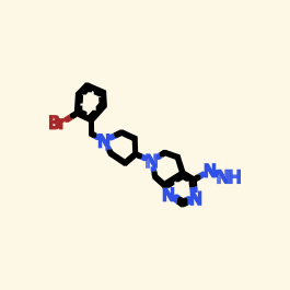 N=Nc1ncnc2c1CCN(C1CCN(Cc3ccccc3Br)CC1)C2